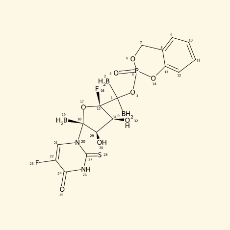 BC(B)(OP1(=O)OCc2ccccc2O1)[C@@]1(F)O[C@@](B)(n2cc(F)c(=O)[nH]c2=S)[C@H](O)[C@@H]1O